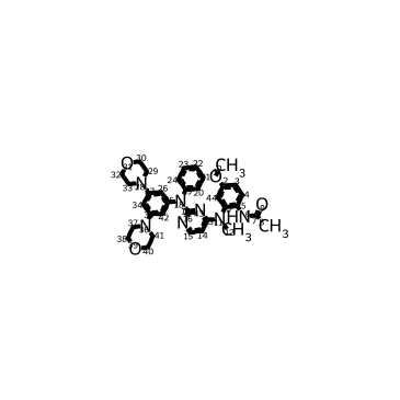 COc1ccc(NC(C)=O)c(N(C)c2ccnc(N(c3ccccc3)c3cc(N4CCOCC4)cc(N4CCOCC4)c3)n2)c1